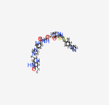 CCc1cc2ncc(CN3CCN(c4ccc(C(=O)NCCOCCN(C)C(=O)c5nnc(SCc6ccc(-n7ccnc7)cc6C)s5)nc4)CC3)cc2[nH]c1=O